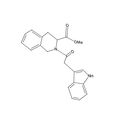 COC(=O)C1Cc2ccccc2CN1C(=O)Cc1c[nH]c2ccccc12